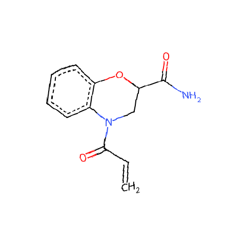 C=CC(=O)N1CC(C(N)=O)Oc2ccccc21